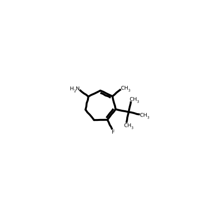 CC1=CC(N)CCC(F)=C1C(C)(C)C